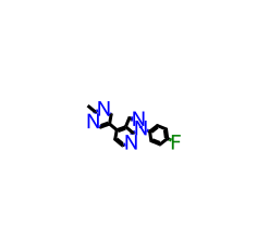 Cc1ncc(-c2ccnc3c2cnn3-c2ccc(F)cc2)cn1